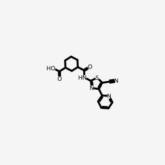 N#Cc1sc(NC(=O)C2CCCC(C(=O)O)C2)nc1-c1ccccn1